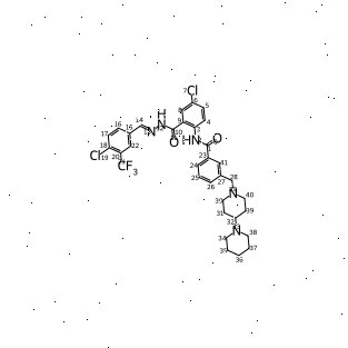 O=C(Nc1ccc(Cl)cc1C(=O)N/N=C/c1ccc(Cl)c(C(F)(F)F)c1)c1cccc(CN2CCC(N3CCCCC3)CC2)c1